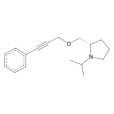 CC(C)N1CCC[C@H]1COCC#Cc1ccccc1